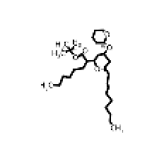 CCCCCCCCCCCC(CC(O)C(CCCCCC)C(=O)OC(C)(C)C)O[C@@H]1CCCCO1